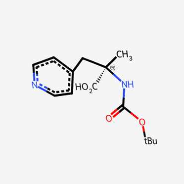 CC(C)(C)OC(=O)N[C@](C)(Cc1ccncc1)C(=O)O